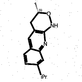 CC(C)c1ccc2cc3c(nc2c1)NO[C@@H](C)C3